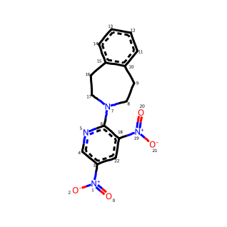 O=[N+]([O-])c1cnc(N2CCc3ccccc3CC2)c([N+](=O)[O-])c1